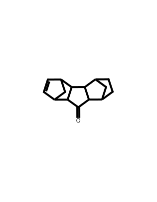 O=C1C2C3C=CC(C3)C2C2C3CCC(C3)C12